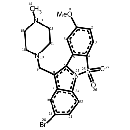 COc1ccc2c(c1)-c1c(CN3CCN(C)CC3)c3cc(Br)ccc3n1S2(=O)=O